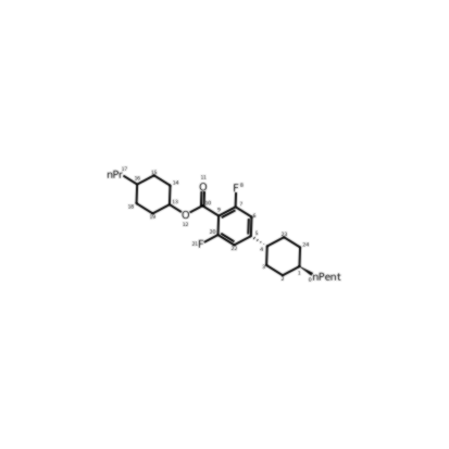 CCCCC[C@H]1CC[C@H](c2cc(F)c(C(=O)OC3CCC(CCC)CC3)c(F)c2)CC1